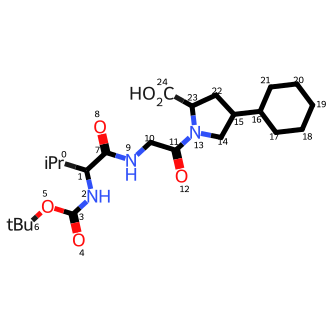 CC(C)C(NC(=O)OC(C)(C)C)C(=O)NCC(=O)N1CC(C2CCCCC2)CC1C(=O)O